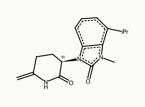 C=C1CC[C@@H](n2c(=O)n(C)c3c(C(C)C)cccc32)C(=O)N1